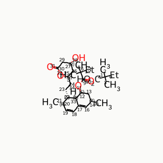 CCC(C)(C)C(=O)O.CCC(C)(C)C(=O)O[C@H]1C[C@@H](C)C=C2C=C[C@H](C)[C@H](CC[C@@H]3C[C@@H](O)CC(=O)O3)[C@H]21